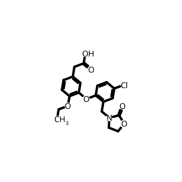 CCOc1ccc(CC(=O)O)cc1Oc1ccc(Cl)cc1CN1CCOC1=O